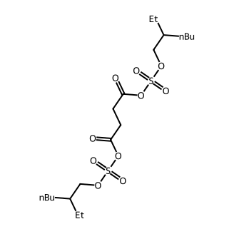 CCCCC(CC)COS(=O)(=O)OC(=O)CCC(=O)OS(=O)(=O)OCC(CC)CCCC